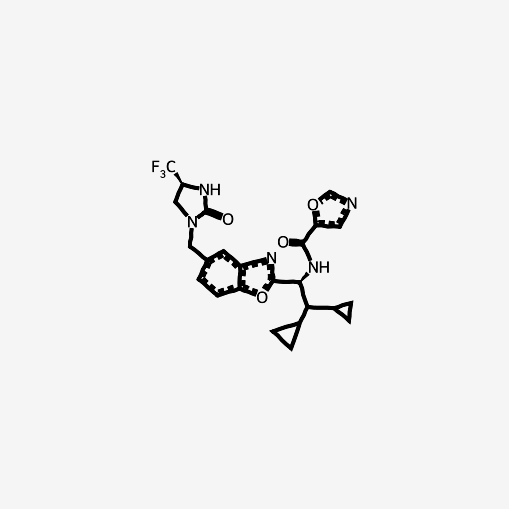 O=C(N[C@H](c1nc2cc(CN3C[C@@H](C(F)(F)F)NC3=O)ccc2o1)C(C1CC1)C1CC1)c1cnco1